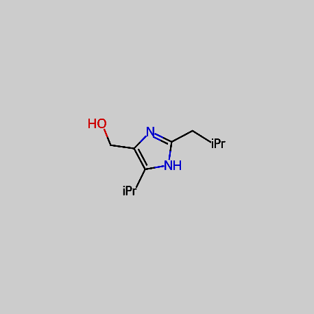 CC(C)Cc1nc(CO)c(C(C)C)[nH]1